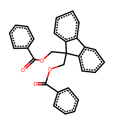 O=C(OCC1(COC(=O)c2ccccc2)c2ccccc2-c2ccccc21)c1ccccc1